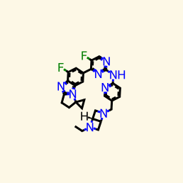 CCN1CC2[C@H]1CN2Cc1ccc(Nc2ncc(F)c(-c3cc(F)c4nc5n(c4c3)C3(CC5)CC3)n2)nc1